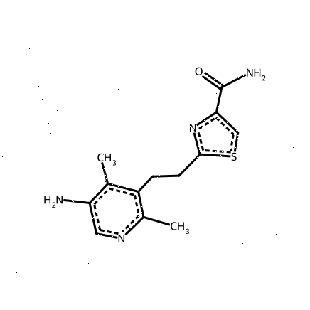 Cc1ncc(N)c(C)c1CCc1nc(C(N)=O)cs1